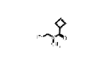 CC(C)CN(C)C(=O)C1CCC1